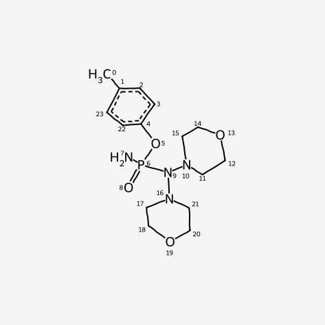 Cc1ccc(OP(N)(=O)N(N2CCOCC2)N2CCOCC2)cc1